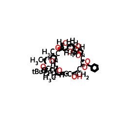 C=C1C2C[C@@H]3O[C@H](C[C@H](C)CO[Si](C)(C)C(C)(C)C)[C@H](C)C3CC(=O)C[C@H]3CC[C@@H]4O[C@@H]5[C@H]6O[C@@H]7C[C@](CC[C@H](OC(=O)c8ccccc8)CC(=C)[C@H](O)CC[C@@H](C[C@H]1C)O2)(O[C@H]6[C@H]4O3)O[C@H]57